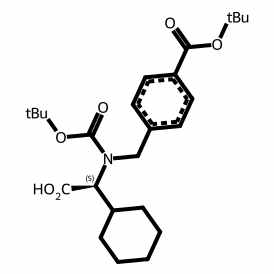 CC(C)(C)OC(=O)c1ccc(CN(C(=O)OC(C)(C)C)[C@H](C(=O)O)C2CCCCC2)cc1